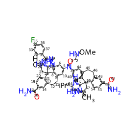 CONCON(c1ccc2c(c1)CCc1cc(C(N)=O)ccc1C2(C[C@@H](C)N)c1nnc(-c2ccc(F)cc2)[nH]1)c1ccc2c(c1)CCc1cc(C(N)=O)ccc1C2(C[C@@H](C)N)c1nnc(C(C)C)[nH]1